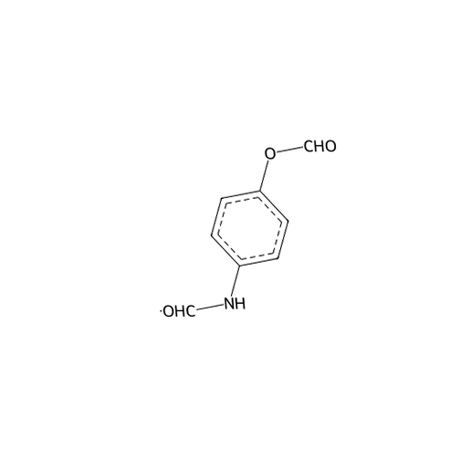 O=[C]Nc1ccc(OC=O)cc1